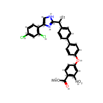 CCC(c1ccc(-c2ccc(Oc3ccc(C(=O)OC)c([N+](=O)[O-])c3)cc2)cc1)c1nc(-c2ccc(Cl)cc2Cl)c[nH]1